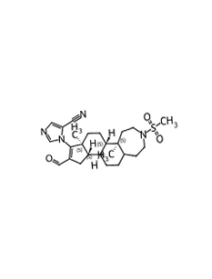 C[C@]12CCN(S(C)(=O)=O)CCC1CC[C@@H]1[C@@H]2CC[C@]2(C)C(n3cncc3C#N)=C(C=O)C[C@@H]12